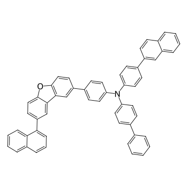 c1ccc(-c2ccc(N(c3ccc(-c4ccc5ccccc5c4)cc3)c3ccc(-c4ccc5oc6ccc(-c7cccc8ccccc78)cc6c5c4)cc3)cc2)cc1